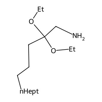 CCCCCCCCCCC(CN)(OCC)OCC